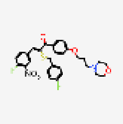 O=C(C(=Cc1ccc(F)c([N+](=O)[O-])c1)SCc1ccc(F)cc1)c1ccc(OCCCN2CCOCC2)cc1